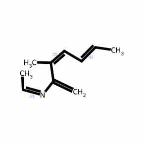 C=C(/N=C\C)/C(C)=C\C=C\C